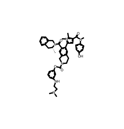 Cc1c(C(=O)N(C)c2ccc(O)cc2)cc(-c2cc3c(cc2C(=O)N2Cc4ccccc4C[C@H]2C)CN(C(=O)Oc2cccc(NCCN(C)C)c2)CC3)n1C